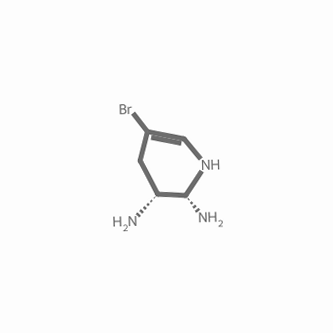 N[C@@H]1CC(Br)=CN[C@@H]1N